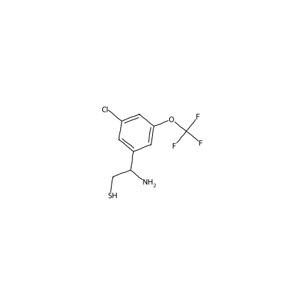 NC(CS)c1cc(Cl)cc(OC(F)(F)F)c1